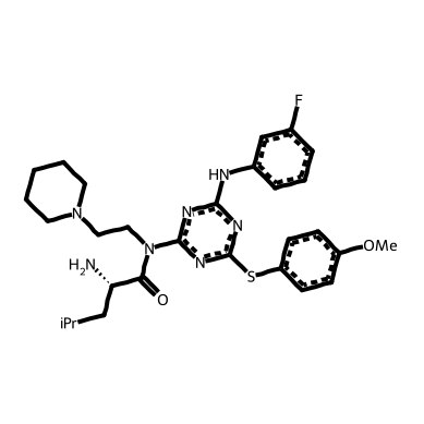 COc1ccc(Sc2nc(Nc3cccc(F)c3)nc(N(CCN3CCCCC3)C(=O)[C@@H](N)CC(C)C)n2)cc1